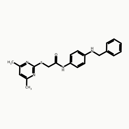 Cc1cc(C)nc(SCC(=O)Nc2ccc(NCc3ccccc3)cc2)n1